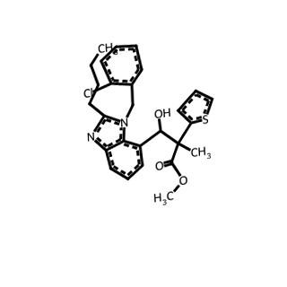 CCCCc1nc2cccc(C(O)C(C)(C(=O)OC)c3cccs3)c2n1Cc1ccccc1Cl